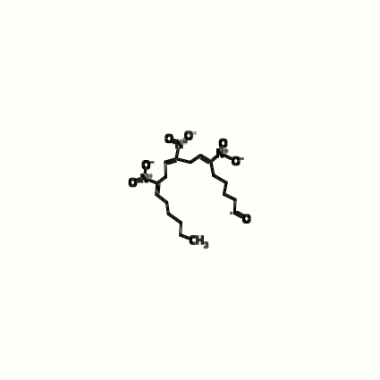 CCCCC/C=C(\C/C=C(\C/C=C(\CCCC[C]=O)[N+](=O)[O-])[N+](=O)[O-])[N+](=O)[O-]